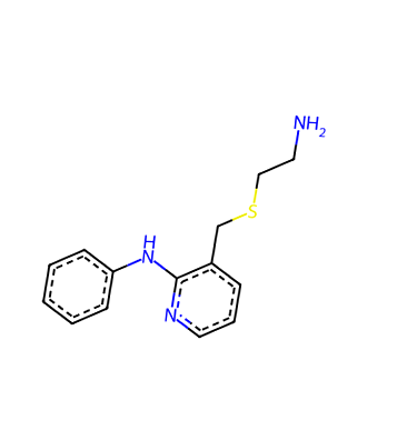 NCCSCc1cccnc1Nc1ccccc1